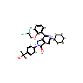 CC(C)(O)c1ccc(N2Cc3c(cc(C4CCCCC4)nc3-c3ccccc3OCC(F)F)C2=O)cc1